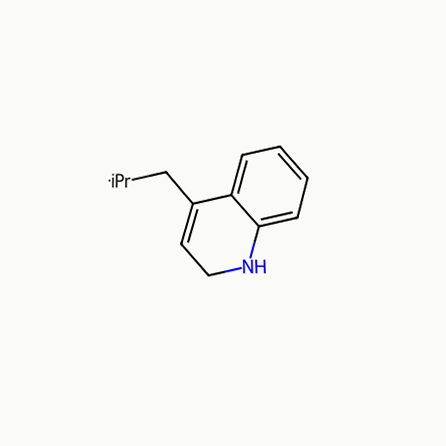 C[C](C)CC1=CCNc2ccccc21